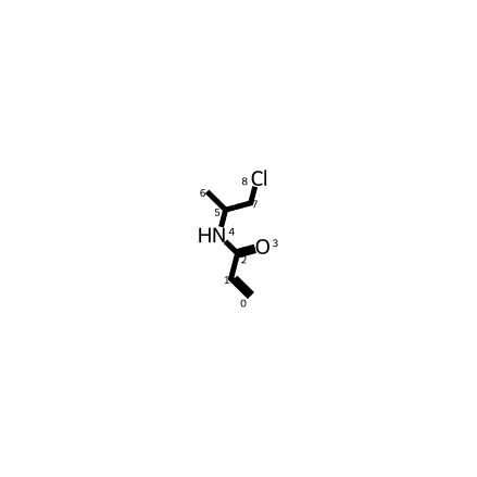 C=CC(=O)NC(C)CCl